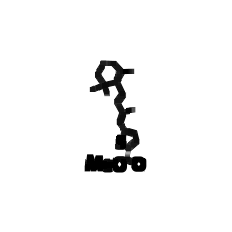 COC(=O)c1ccc(/C=C(\C)C=CC2=C(C)CCCC2(C)C)s1